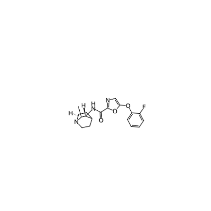 C[C@H]1[C@H](NC(=O)c2ncc(Oc3ccccc3F)o2)C2CCN1CC2